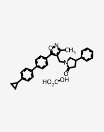 Cc1noc(-c2ccc(-c3ccc(C4CC4)cc3)cc2)c1CN1CC(c2ccccc2)CC1=O.O=C(O)O